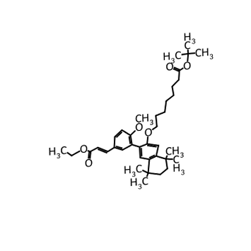 CCOC(=O)C=Cc1ccc(OC)c(-c2cc3c(cc2OCCCCCCCC(=O)OC(C)(C)C)C(C)(C)CCC3(C)C)c1